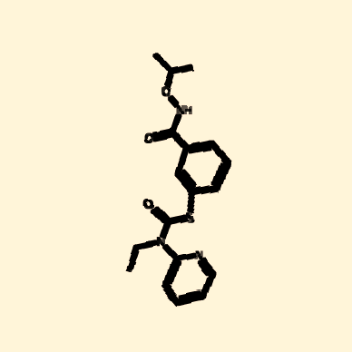 CCN(C(=O)Sc1cccc(C(=O)NOC(C)C)c1)c1ccccn1